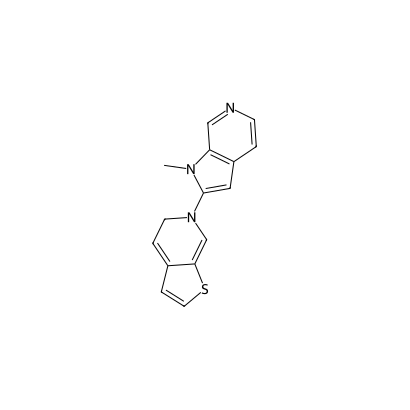 Cn1c(N2C=c3sccc3=CC2)cc2ccncc21